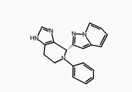 c1ccc(N2CCc3[nH]cnc3[C@@H]2c2cc3ccccn3n2)cc1